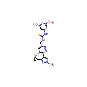 CCOc1cc(NC(=O)NCc2cc(C)c(-c3cn(C)nc3C3CC3)nn2)cc(C(F)(F)F)n1